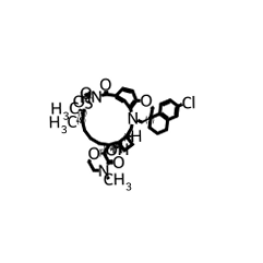 C[C@@H]1[C@@H](C)CCC[C@](O)([C@H]2OCCN(C)C2=O)[C@@H]2CC[C@H]2CN2C[C@@]3(CCCc4cc(Cl)ccc43)COc3ccc(cc32)C(=O)NS1(=O)=O